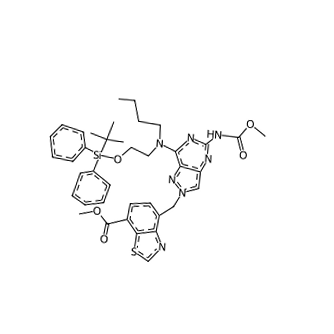 CCCCN(CCO[Si](c1ccccc1)(c1ccccc1)C(C)(C)C)c1nc(NC(=O)OC)nc2cn(Cc3ccc(C(=O)OC)c4scnc34)nc12